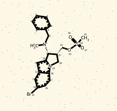 CN(Cc1ccccc1)[C@H]1c2cc3cc(Br)ccc3n2C[C@H]1COS(C)(=O)=O